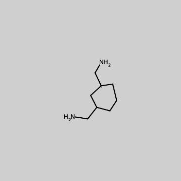 NC[C]1CCCC(CN)C1